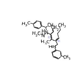 C=C/C(=C(C)\C(=C/CCC)CNc1cccc(C)c1)N(NC)C(C)c1ccc(C)cc1